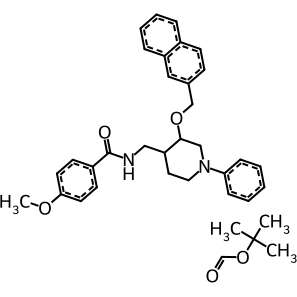 CC(C)(C)OC=O.COc1ccc(C(=O)NCC2CCN(c3ccccc3)CC2OCc2ccc3ccccc3c2)cc1